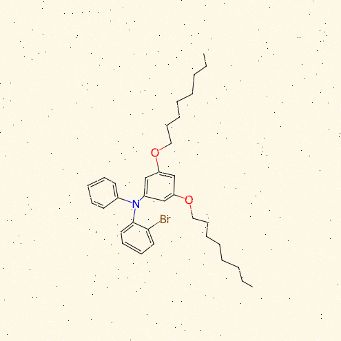 CCCCCCCCOc1cc(OCCCCCCCC)cc(N(c2ccccc2)c2ccccc2Br)c1